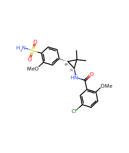 COc1ccc(Cl)cc1C(=O)N[C@H]1[C@H](c2ccc(S(N)(=O)=O)c(OC)c2)C1(C)C